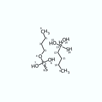 CCCCOP(O)(O)=S.CCCC[PH](O)(O)S